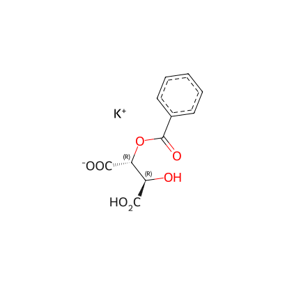 O=C(O[C@@H](C(=O)[O-])[C@@H](O)C(=O)O)c1ccccc1.[K+]